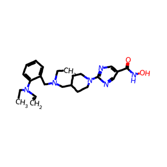 C=CN(CC)c1ccccc1CN(CC)CC1CCN(c2ncc(C(=O)NO)cn2)CC1